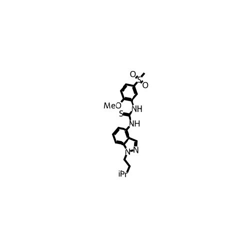 COc1ccc(S(C)(=O)=O)cc1NC(=S)Nc1cccc2c1cnn2CCC(C)C